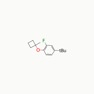 CC1(Oc2ccc(C(C)(C)C)cc2F)CCC1